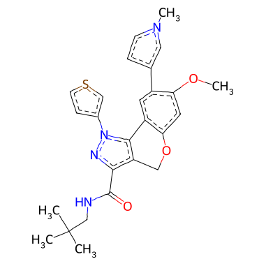 COc1cc2c(cc1-c1ccn(C)c1)-c1c(c(C(=O)NCC(C)(C)C)nn1-c1ccsc1)CO2